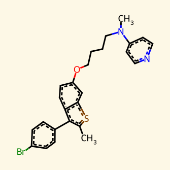 Cc1sc2cc(OCCCCN(C)c3ccncc3)ccc2c1-c1ccc(Br)cc1